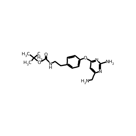 CC(C)(C)OC(=O)NCCc1ccc(Oc2cc(CN)nc(N)n2)cc1